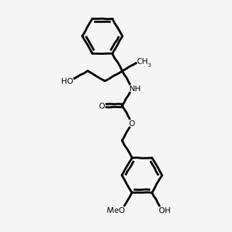 COc1cc(COC(=O)NC(C)(CCO)c2ccccc2)ccc1O